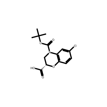 CC(C)(C)OC(=O)N1C[C@@H](C(=O)O)Oc2ccc(Cl)cc21